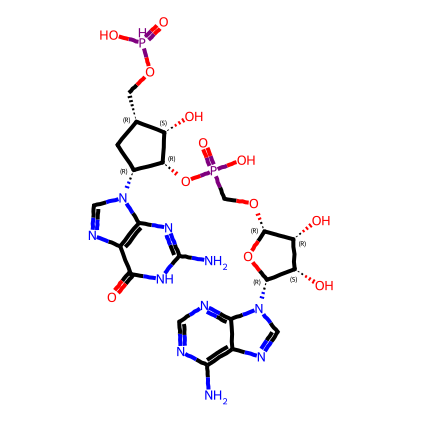 Nc1nc2c(ncn2[C@@H]2C[C@H](CO[PH](=O)O)[C@H](O)[C@@H]2OP(=O)(O)CO[C@H]2O[C@@H](n3cnc4c(N)ncnc43)[C@@H](O)[C@H]2O)c(=O)[nH]1